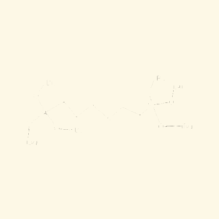 CCC(C)O[Si](CCSSCC[Si](OC(C)CC)(OC(C)CC)OC(C)CC)(OC(C)CC)OC(C)CC